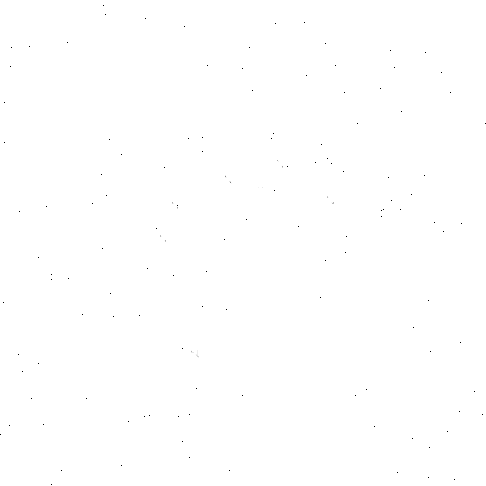 O=C(Nc1ccccn1)Nc1cc(-c2ccncc2)nn1-c1ccccc1